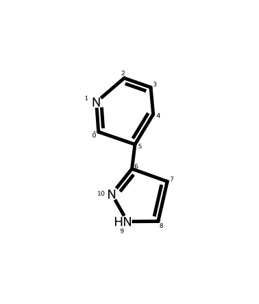 [c]1ncccc1-c1cc[nH]n1